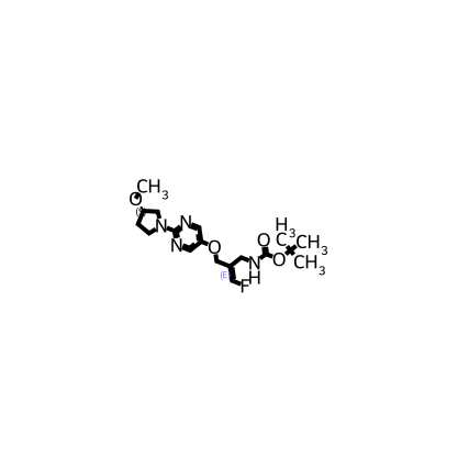 CO[C@H]1CCN(c2ncc(OC/C(=C/F)CNC(=O)OC(C)(C)C)cn2)C1